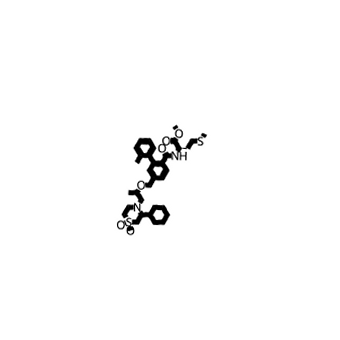 COC(=O)[C@H](CCSC)NC(=O)c1ccc(COC(C)CN2CCS(=O)(=O)CC2C2CCCCC2)cc1-c1ccccc1C